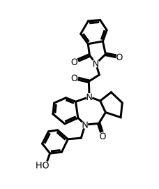 O=C1c2ccccc2C(=O)N1CC(=O)N1c2ccccc2N(Cc2cccc(O)c2)C(=O)C2CCCC21